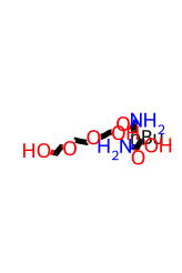 CCCCC(N)=O.NC(=O)CO.OCCOCCOCCO